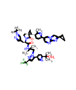 [2H]C([2H])([2H])n1cc(C[C@H](C(=O)NC(C)(C)Cn2nc(C(F)(F)F)cc2-c2ccc(C(C)(C)O)nc2)N2CC[C@@]3(C[C@@H]3c3ccc(-c4cnc5nc(C6CC6)cn5c4)nc3C)C2=O)cn1